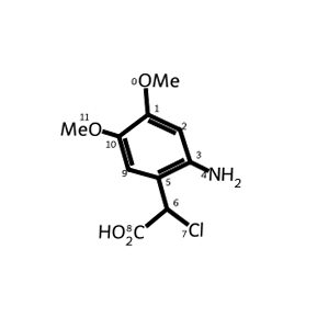 COc1cc(N)c(C(Cl)C(=O)O)cc1OC